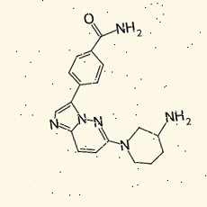 NC(=O)c1ccc(-c2cnc3ccc(N4CCCC(N)C4)nn23)cc1